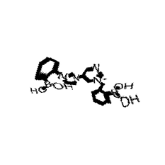 OB(O)c1ccccc1C[n+]1cncc(-n2cc[n+](-c3ccccc3B(O)O)c2)c1